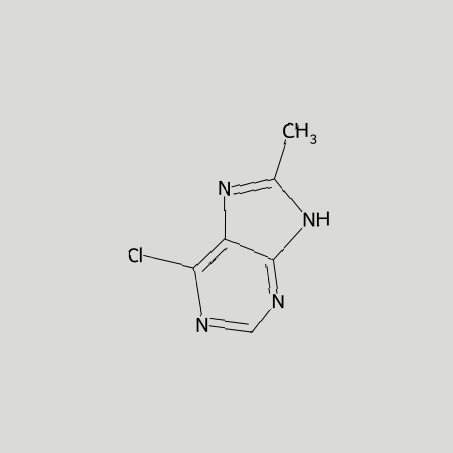 Cc1nc2c(Cl)ncnc2[nH]1